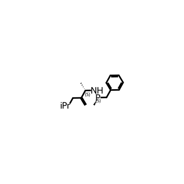 C=C(CC(C)C)[C@H](C)N[P@](C)Cc1ccccc1